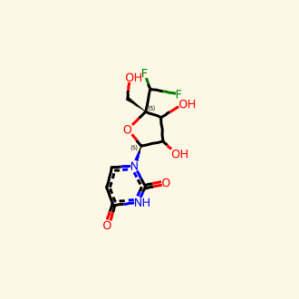 O=c1ccn([C@H]2O[C@](CO)(C(F)F)C(O)C2O)c(=O)[nH]1